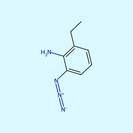 CCc1cccc(N=[N+]=[N-])c1N